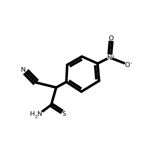 N#CC(C(N)=S)c1ccc([N+](=O)[O-])cc1